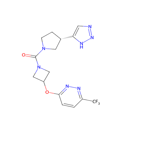 O=C(N1CC(Oc2ccc(C(F)(F)F)nn2)C1)N1CC[C@H](c2cnn[nH]2)C1